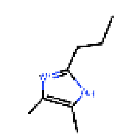 CCCC1=[N+]C(C)=C(C)N1